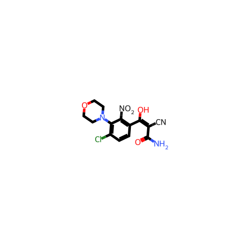 N#CC(C(N)=O)=C(O)c1ccc(Cl)c(N2CCOCC2)c1[N+](=O)[O-]